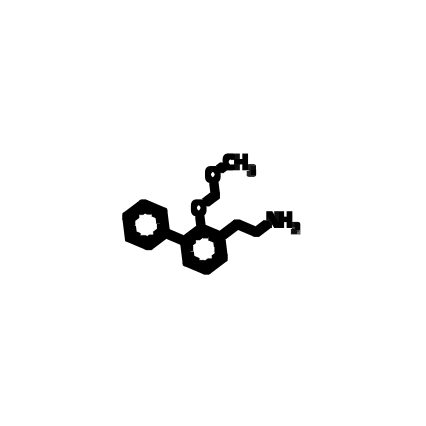 COCOc1c(CCN)cccc1-c1ccccc1